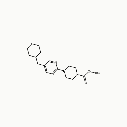 CC(C)(C)OC(=O)N1CCN(c2ncc(CC3CCOCC3)cn2)CC1